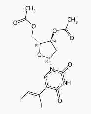 CC(=O)OC[C@H]1O[C@@H](n2cc(C(I)=CI)c(=O)[nH]c2=O)C[C@@H]1OC(C)=O